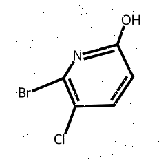 Oc1ccc(Cl)c(Br)n1